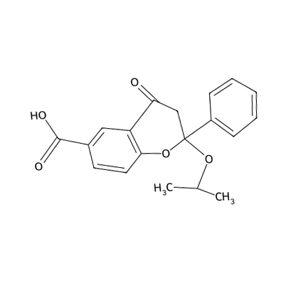 CC(C)OC1(c2ccccc2)CC(=O)c2cc(C(=O)O)ccc2O1